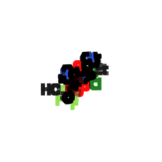 CCC1=CC(C)(C)N2CCCc3c4c(cc1c32)C1(c2cc3c5c(c2O4)CCCN5C(C)(C)C=C3CS(=O)(=O)O)c2c(Cl)ccc(Cl)c2C(=O)N1OC(C)(C)C(=O)Oc1c(F)c(F)cc(F)c1F